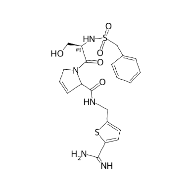 N=C(N)c1ccc(CNC(=O)C2C=CCN2C(=O)[C@@H](CO)NS(=O)(=O)Cc2ccccc2)s1